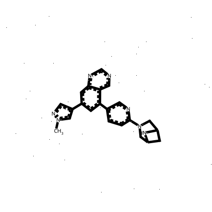 Cn1cc(-c2cc(-c3ccc(N4CC5CC(C4)N5)nc3)c3cncnc3c2)cn1